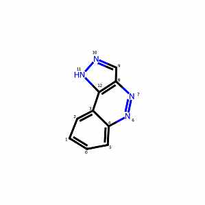 c1ccc2c(c1)nnc1cn[nH]c12